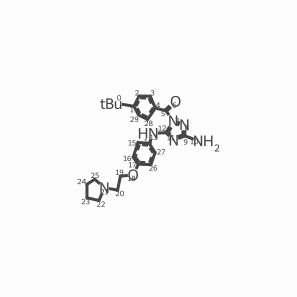 CC(C)(C)c1ccc(C(=O)n2nc(N)nc2Nc2ccc(OCCN3CCCC3)cc2)cc1